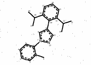 Cc1ccccc1-n1cc(-c2c(C(C)C)cccc2C(C)C)cn1